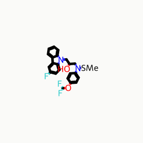 CSN(CC(O)Cn1c2ccccc2c2cc(F)ccc21)c1ccc(OC(F)F)cc1